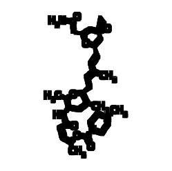 CC(/C=C/[C@@H]1C[C@]2(CO2)C[C@@H](CC(N)=O)O1)=C\C[C@@H]1O[C@H](C)[C@H](NC(=O)/C=C\[C@H](C)OC(=O)N2CCN(C)CC2)C[C@@H]1C